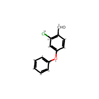 O=Cc1ccc(Oc2ccccc2)cc1Cl